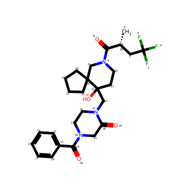 C[C@H](CC(F)(F)F)C(=O)N1CCC(O)(CN2CCN(C(=O)c3ccccc3)CC2=O)C2(CCCC2)C1